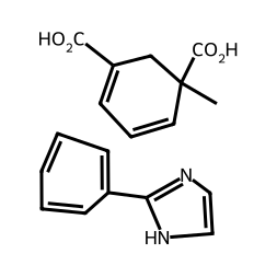 CC1(C(=O)O)C=CC=C(C(=O)O)C1.c1ccc(-c2ncc[nH]2)cc1